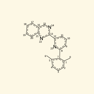 Cc1cccc(C)c1-c1cccc(-c2ncc3ccccc3n2)n1